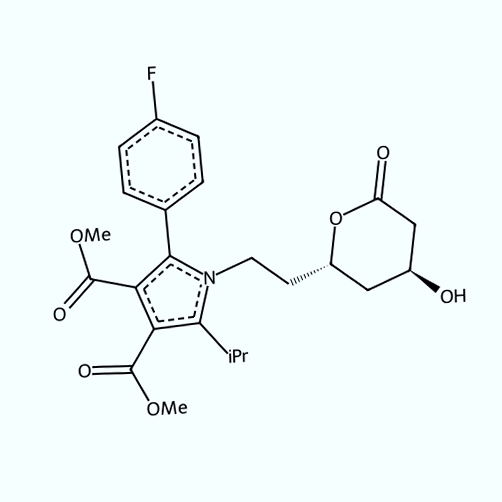 COC(=O)c1c(C(=O)OC)c(C(C)C)n(CC[C@H]2C[C@H](O)CC(=O)O2)c1-c1ccc(F)cc1